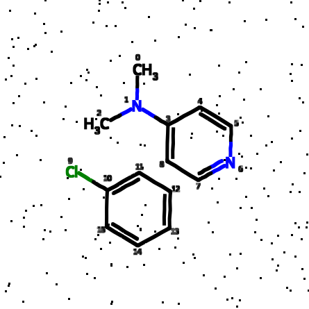 CN(C)c1ccncc1.Clc1ccccc1